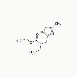 CCOC(=O)C(CC)Cc1nc(C)c[nH]1